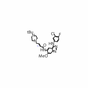 COc1cc2ncnc(Nc3ccc(F)c(Cl)c3)c2cc1NC(=O)/C=C/CN1CCN(C(C)(C)C)CC1